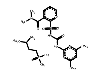 COc1cc(OC)nc(NC(=O)NS(=O)(=O)c2ncccc2C(=O)N(C)C)n1.CP(=O)(O)CCC(N)C(=O)O